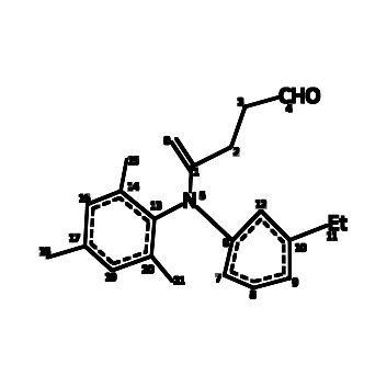 C=C(CCC=O)N(c1cccc(CC)c1)c1c(C)cc(C)cc1C